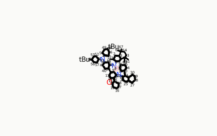 Cc1cc2c(cc1N1B3c4c(cc5oc6ccccc6c5c4-n4c5ccc6ccccc6c5c5cccc3c54)-c3ccc(N(c4ccc(C(C)(C)C)cc4)c4ccc(C(C)(C)C)cc4)cc31)C(C)(C)CCC2(C)C